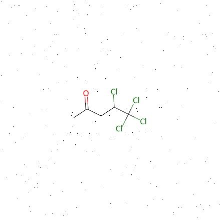 CC(=O)CC(Cl)C(Cl)(Cl)Cl